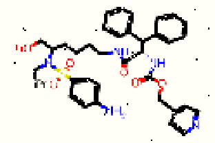 CC(C)CN(C(CO)CCCCNC(=O)[C@@H](NC(=O)OCc1ccncc1)C(c1ccccc1)c1ccccc1)S(=O)(=O)c1ccc(N)cc1